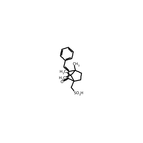 CC12CCC(CS(=O)(=O)O)(C(=O)C1=Cc1ccccc1)C2(C)C